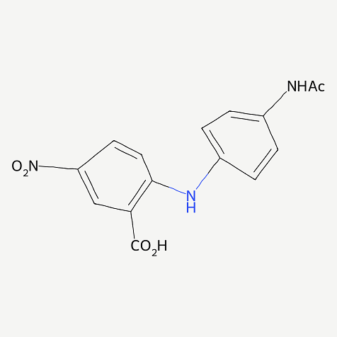 CC(=O)Nc1ccc(Nc2ccc([N+](=O)[O-])cc2C(=O)O)cc1